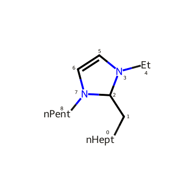 CCCCCCCCC1N(CC)C=CN1CCCCC